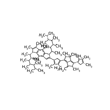 C=C1C2=C(C3=C(C)C(C)=C(C4=Cc5c(O)c6c(c(O)c5C4C(C)C(C)C(C)C(C)C(C)C(C)C)C(C)=C(C)C6C(C)C(C)C(C)C(C)C(C)C(C)C)C3)C(C)C(=C)C2=C(C2=C(C)C(C)=C(C)C2)C1C